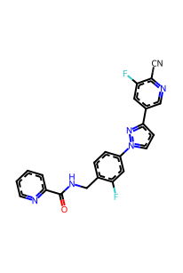 N#Cc1ncc(-c2ccn(-c3ccc(CNC(=O)c4ccccn4)c(F)c3)n2)cc1F